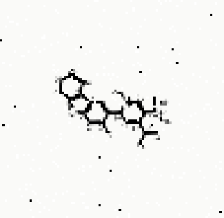 Cc1cc2oc3c(c2cc1C1C=C(C(C)C)C([SiH](C)C)=CN1C)C=CCC3